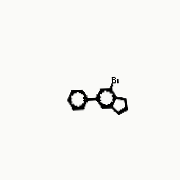 Brc1cc(-c2ccccc2)cc2c1CC=C2